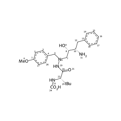 COc1ccc(CN(C[C@H](O)[C@@H](N)Cc2ccccc2)NC(=O)[C@@H](NC(=O)O)C(C)(C)C)cc1